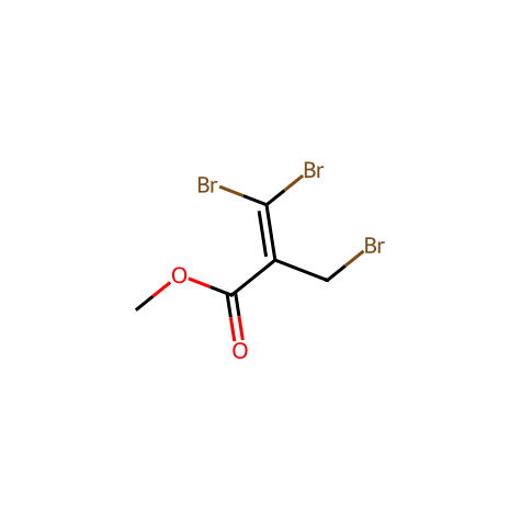 COC(=O)C(CBr)=C(Br)Br